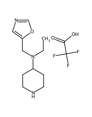 CCN(Cc1cnco1)C1CCNCC1.O=C(O)C(F)(F)F